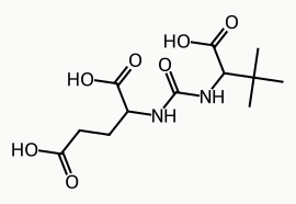 CC(C)(C)C(NC(=O)NC(CCC(=O)O)C(=O)O)C(=O)O